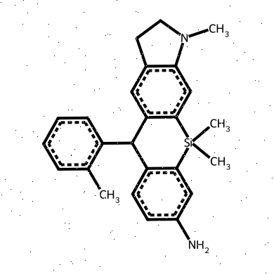 Cc1ccccc1C1c2ccc(N)cc2[Si](C)(C)c2cc3c(cc21)CCN3C